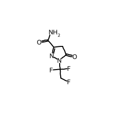 NC(=O)C1=NN(C(F)(F)CF)C(=O)C1